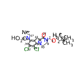 C[Si](C)(C)CCOCN1CCn2c(cc3c(N(CC#N)C(=O)O)cc(Cl)c(Cl)c32)C1=O